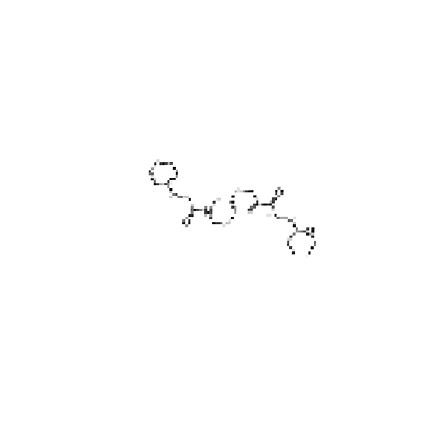 O=C(NOC1CCCCO1)c1ccc2c(c1)CCN(C(=O)COc1ccccc1)C2